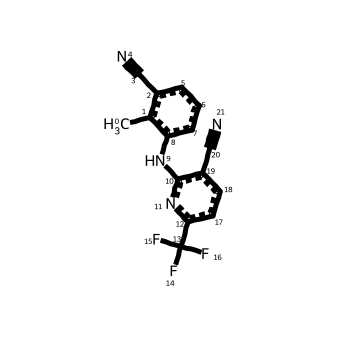 Cc1c(C#N)cccc1Nc1nc(C(F)(F)F)ccc1C#N